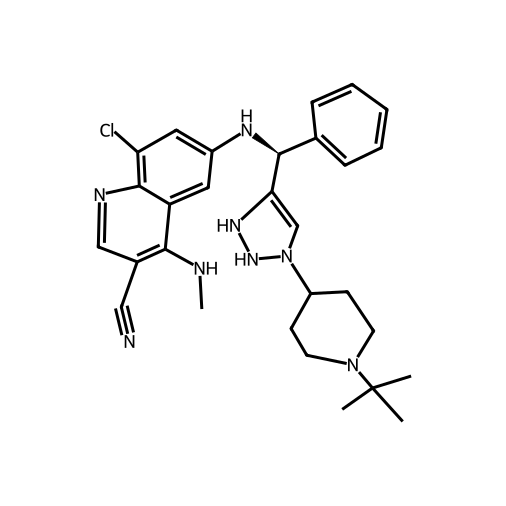 CNc1c(C#N)cnc2c(Cl)cc(N[C@H](C3=CN(C4CCN(C(C)(C)C)CC4)NN3)c3ccccc3)cc12